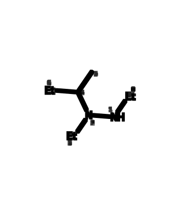 CCNN(CC)C(C)CC